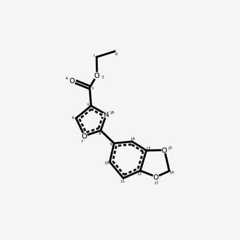 CCOC(=O)c1coc(-c2ccc3c(c2)OCO3)n1